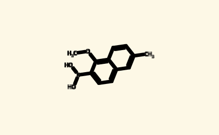 COc1c(B(O)O)ccc2cc(C)ccc12